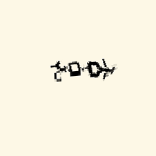 CC(C)C(=O)N1CCN(c2ccc(C(F)(F)F)cc2)CC1